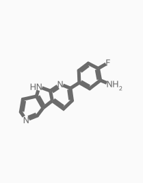 Nc1cc(-c2ccc3c(n2)[nH]c2ccncc23)ccc1F